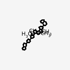 C[Si]1(C)c2cc(-c3ccc(-c4ccc5ccccc5c4)cc3)ccc2-c2c1ccc1c3c(ccc21)[Si](C)(C)c1cc(-c2cccc4ccccc24)ccc1-3